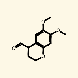 COc1cc2c(cc1OC)C(C=O)CCO2